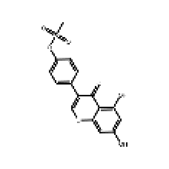 CS(=O)(=O)Oc1ccc(-c2coc3cc(O)cc(O)c3c2=O)cc1